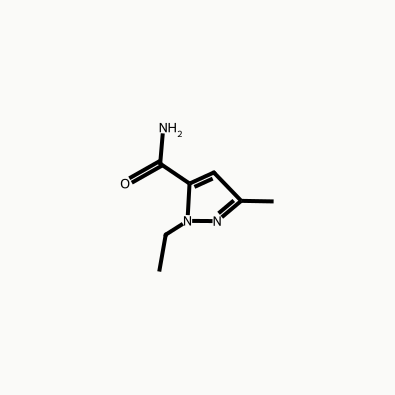 CCn1nc(C)cc1C(N)=O